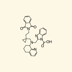 O=C1c2ccccc2C(=O)N1CCC1(CN(Cc2nc3ccccc3n2C(=O)O)C2CCCc3cccnc32)CC1